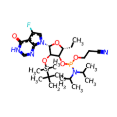 CC[C@H]1O[C@@H](n2cc(F)c3c(=O)[nH]cnc32)[C@H](O[Si](C)(C)C(C)(C)C)[C@@H]1OP(OCCC#N)N(C(C)C)C(C)C